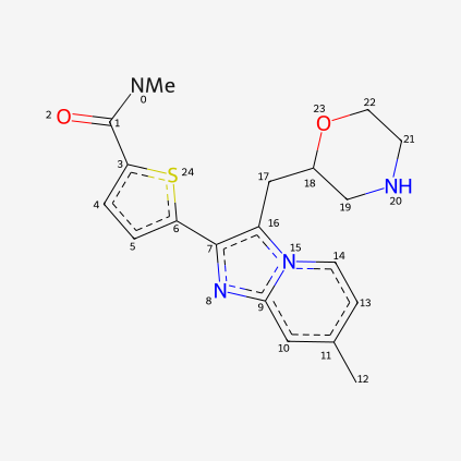 CNC(=O)c1ccc(-c2nc3cc(C)ccn3c2CC2CNCCO2)s1